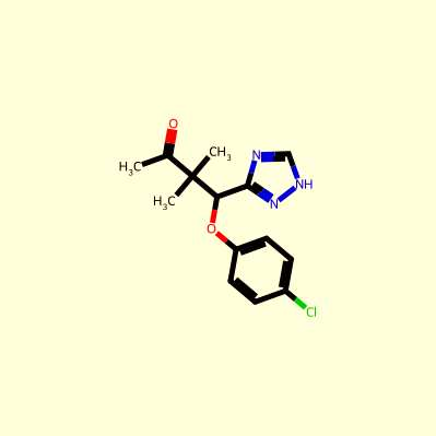 CC(=O)C(C)(C)C(Oc1ccc(Cl)cc1)c1nc[nH]n1